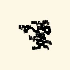 COc1cc(C)c(S(=O)(=O)N[C@@H](CCCNC(=N)N)C(=O)O)c(C)c1C.N[C@@H](Cc1ccccc1)C(=O)O